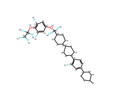 CC1CCC(c2ccc(C3CCC(C4CCC(C(F)(F)Oc5cc(F)c(OC(F)(F)C(F)F)c(F)c5)CC4)CC3)c(F)c2)CC1